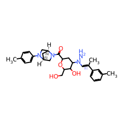 C/C(=C\N(N)C1CC(C(=O)N2C[C@@H]3C[C@H]2CN3c2ccc(C)cc2)OC(CO)C1O)c1cccc(C)c1